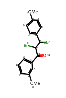 COc1ccc(C(Br)C(Br)C(=O)c2cccc(OC)c2)cc1